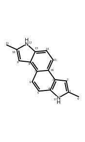 Cc1cc2c(ccc3c4cc(C)[nH]c4ccc23)[nH]1